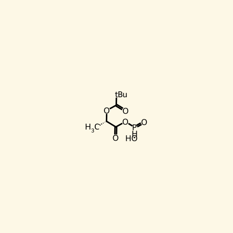 C[C@H](OC(=O)C(C)(C)C)C(=O)O[PH](=O)O